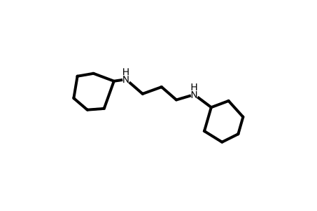 C1CCC(NCCCNC2CCCCC2)CC1